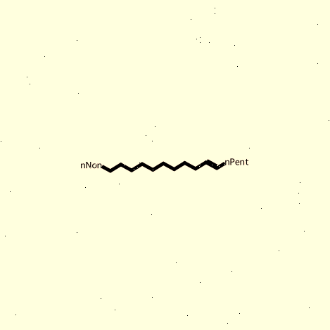 CCCCCC=CCCCCCCCCCCCCCCCCCC